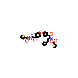 CC/C(=N\OC(=O)C1CCCS1)C(=O)c1ccc(Oc2ccc(C(=O)/C(CCC3CCCC3)=N/OC(=O)C3CCCS3)cc2)cc1